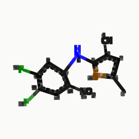 Cc1cc(C#N)c(Nc2cc(F)c(F)cc2[N+](=O)[O-])s1